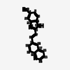 Brc1ccc2[nH]c(C=Cc3ccc4ncccc4c3)nc2c1